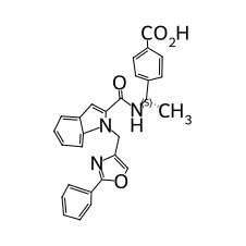 C[C@H](NC(=O)c1cc2ccccc2n1Cc1coc(-c2ccccc2)n1)c1ccc(C(=O)O)cc1